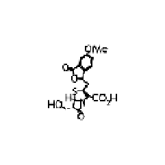 COc1ccc2c(c1)C(=O)OC2CC1=C(C(=O)O)N2C(=O)[C@H](CO)[C@H]2S1